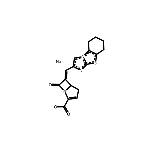 O=C([O-])C1=CCC2/C(=C\c3cn4c5c(sc4n3)CCCC5)C(=O)N12.[Na+]